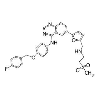 CS(=O)(=O)CCNCc1ccc(-c2ccc3ncnc(Nc4ccc(OCc5ccc(F)cc5)cc4)c3c2)o1